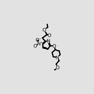 CCOC(=O)Cc1nc(OC2CCN(CCOC)CC2)ccc1[N+](=O)[O-]